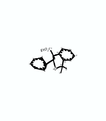 CCOC(=O)C1=C(c2ccccc2)OC(C)(C)c2ccccc21